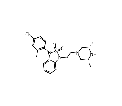 Cc1cc(Cl)ccc1N1c2ccccc2N(CCN2C[C@@H](C)N[C@@H](C)C2)S1(=O)=O